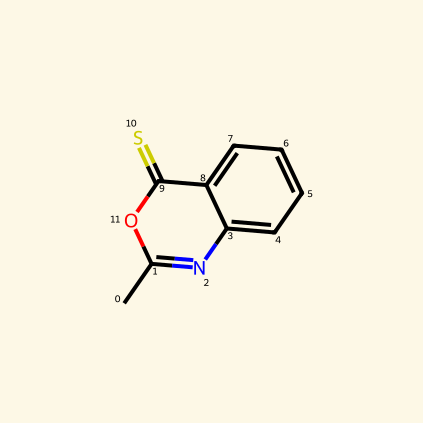 Cc1nc2ccccc2c(=S)o1